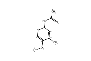 COC1=CCC(NC(C)=O)C=C1C